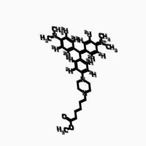 [2H]C1=C([2H])C(=[N+](C)C)C([2H])=C([2H])C1=C(c1c([2H])c([2H])c(N(C)C)c([2H])c1[2H])c1c([2H])c([2H])c(N2CCN(CCCCCC(=O)OC)CC2)c([2H])c1[2H]